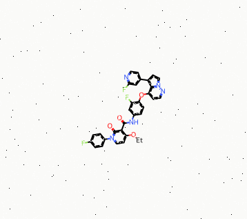 CCOc1ccn(-c2ccc(F)cc2)c(=O)c1C(=O)Nc1ccc(Oc2ccnn3ccc(-c4ccnc(F)c4)c23)c(F)c1